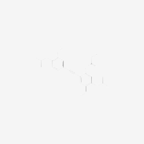 COc1cc(C#Cc2cc(OC)c(OC(C)C)cc2OC(=O)CI)ccc1OC(C)C